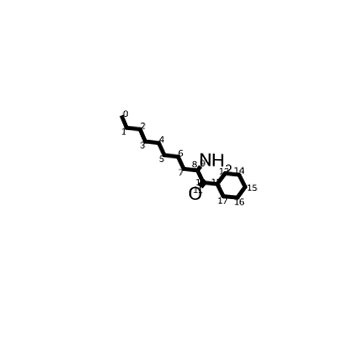 CCCCCCCCC(N)C(=O)C1CCCCC1